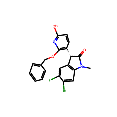 CN1C(=O)[C@@H](c2ccc(O)nc2OCc2ccccc2)c2cc(F)c(Br)cc21